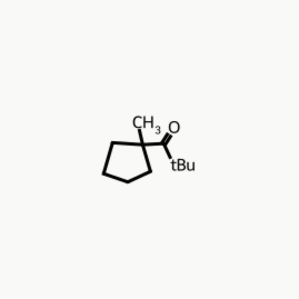 CC(C)(C)C(=O)C1(C)CCCC1